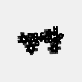 CCOC(=O)C(C=CC(=O)OC(c1ccccc1)c1ccccc1)(C(=O)OCC)c1csc(NC(=O)OCc2ccccc2)n1